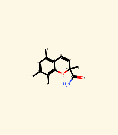 Cc1cc(C)c2c(c1C)OC(C)(C(N)=O)C=C2